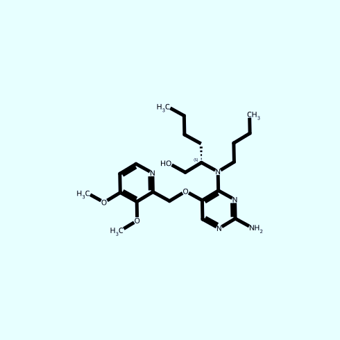 CCCC[C@@H](CO)N(CCCC)c1nc(N)ncc1OCc1nccc(OC)c1OC